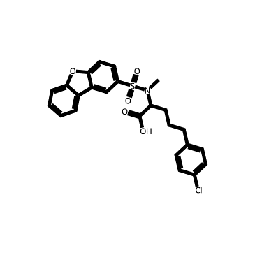 CN(C(CCCc1ccc(Cl)cc1)C(=O)O)S(=O)(=O)c1ccc2oc3ccccc3c2c1